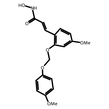 COc1ccc(OCOc2cc(OC)ccc2/C=C/C(=O)NO)cc1